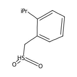 CC(C)c1ccccc1C[SH](=O)=O